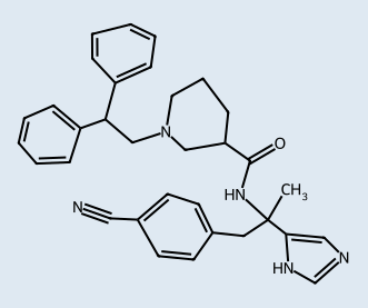 CC(Cc1ccc(C#N)cc1)(NC(=O)C1CCCN(CC(c2ccccc2)c2ccccc2)C1)c1cnc[nH]1